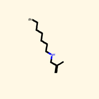 C=C(C)CNCCCCCCC(C)CC